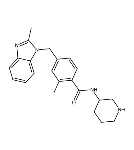 Cc1cc(Cn2c(C)nc3ccccc32)ccc1C(=O)NC1CCCNC1